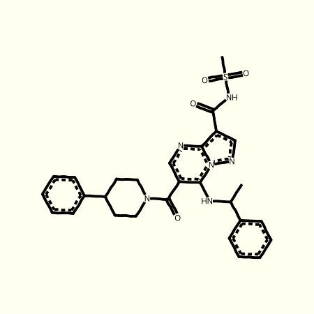 CC(Nc1c(C(=O)N2CCC(c3ccccc3)CC2)cnc2c(C(=O)NS(C)(=O)=O)cnn12)c1ccccc1